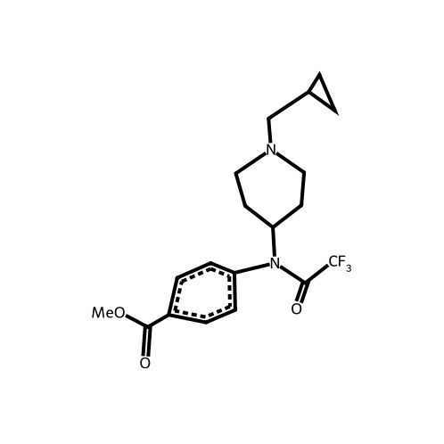 COC(=O)c1ccc(N(C(=O)C(F)(F)F)C2CCN(CC3CC3)CC2)cc1